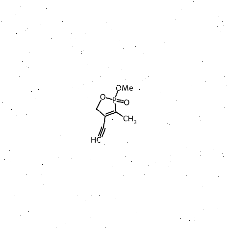 C#CC1=C(C)P(=O)(OC)OC1